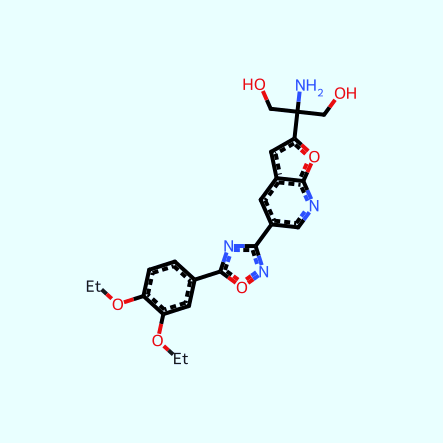 CCOc1ccc(-c2nc(-c3cnc4oc(C(N)(CO)CO)cc4c3)no2)cc1OCC